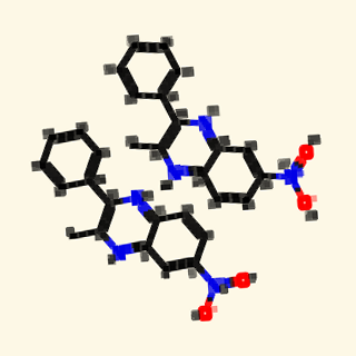 Cc1nc2cc([N+](=O)[O-])ccc2nc1-c1ccccc1.Cc1nc2ccc([N+](=O)[O-])cc2nc1-c1ccccc1